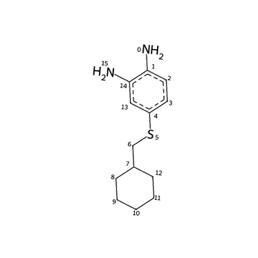 Nc1ccc(SCC2CCCCC2)cc1N